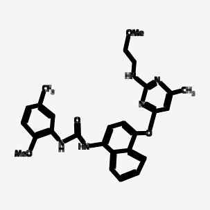 COCCNc1nc(C)cc(Oc2ccc(NC(=O)Nc3cc(C(F)(F)F)ccc3OC)c3ccccc23)n1